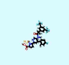 COC(=O)[C@@H]1CCC(c2cc(-c3ccc(F)cc3C)c(N(C)C(=O)C(C)(C)c3cc(C(F)(F)F)cc(C(F)(F)F)c3)cn2)N1P